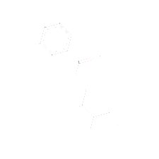 CC(C=O)CCOC(=O)c1ccccc1